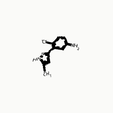 Cc1cc(-c2cc(N)ccc2Cl)n[nH]1